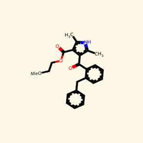 COCCOC(=O)c1c(C)[nH]c(C)c1C(=O)c1ccccc1Cc1ccccc1